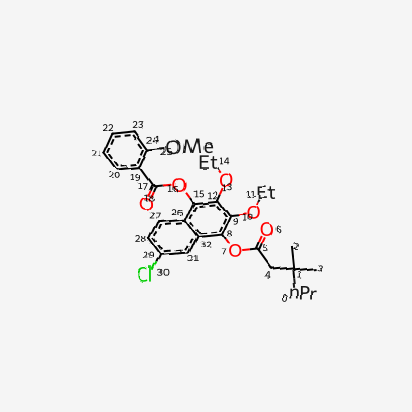 CCCC(C)(C)CC(=O)Oc1c(OCC)c(OCC)c(OC(=O)c2ccccc2OC)c2ccc(Cl)cc12